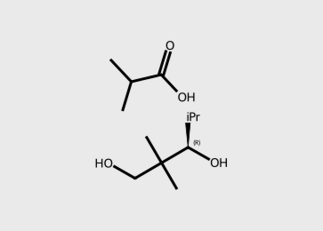 CC(C)C(=O)O.CC(C)[C@@H](O)C(C)(C)CO